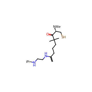 C=C(CCCC(C)(C)C(=O)[C@H](CS)NC)NCCNC(C)C